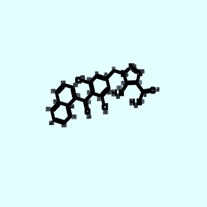 NC(=O)c1nnn(Cc2cc(Cl)c(C(=O)c3cccc4ccccc34)c(Cl)c2)c1N